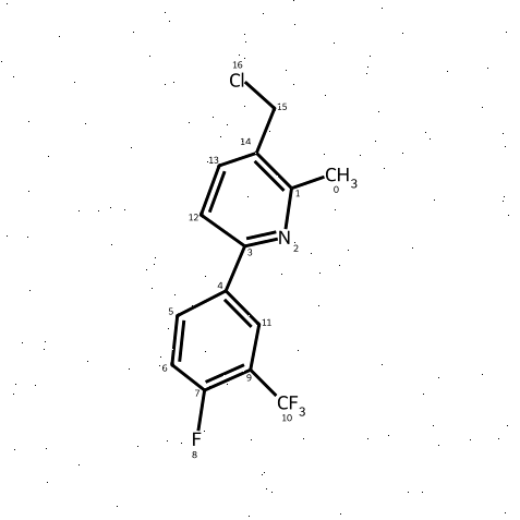 Cc1nc(-c2ccc(F)c(C(F)(F)F)c2)ccc1CCl